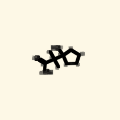 CC(C)(C)C(=O)C(C)(C)C1(O)CCCC1